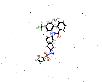 Cc1cccc(C(=O)Nc2ccc3c(c2)CC(NS(=O)(=O)c2cccs2)C3)c1-c1ccc(C(F)(F)F)cc1